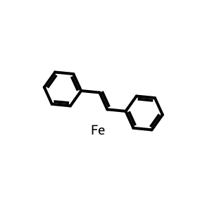 C(=Cc1ccccc1)c1ccccc1.[Fe]